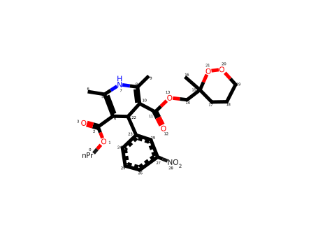 CCCOC(=O)C1=C(C)NC(C)=C(C(=O)OCC2(C)CCCOO2)C1c1cccc([N+](=O)[O-])c1